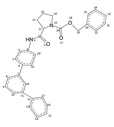 O=C(Nc1ccc(-c2cccc(-c3ccccc3)c2)cc1)C1CCCN1C(=O)OCc1ccccc1